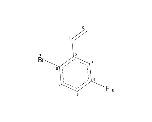 C=[C]c1cc(F)ccc1Br